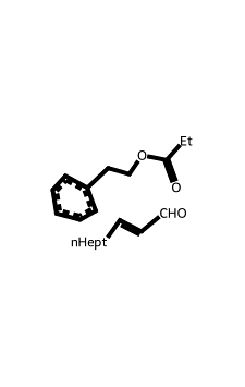 CCC(=O)OCCc1ccccc1.CCCCCCCC=CC=O